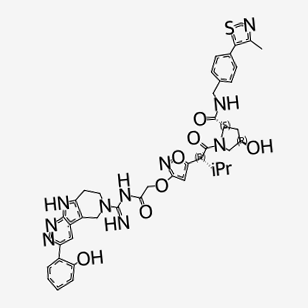 Cc1ncsc1-c1ccc(CNC(=O)[C@@H]2C[C@@H](O)CN2C(=O)[C@@H](c2cc(OCC(=O)NC(=N)N3CCc4[nH]c5nnc(-c6ccccc6O)cc5c4C3)no2)C(C)C)cc1